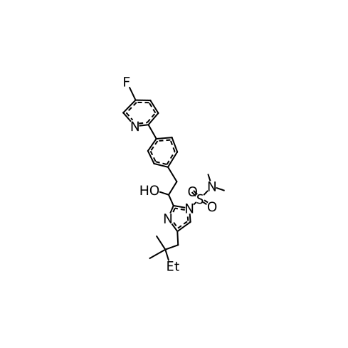 CCC(C)(C)Cc1cn(S(=O)(=O)N(C)C)c(C(O)Cc2ccc(-c3ccc(F)cn3)cc2)n1